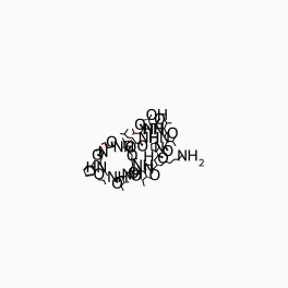 C/C=C1/C(=O)N[C@@H](C(C)C)C(=O)O[C@@H](C)[C@@H](NC(=O)[C@H](NC(=O)[C@H](CCCCCN)CC(=O)[C@H]2CCCN2C(=O)[C@H](NC(=O)[C@@H](NC(=O)[C@@H](NC(=O)[C@H](NC(=O)CCCC(C)C)C(C)C)[C@@H](C)O)C(C)C)C(C)C)[C@@H](C)CC)C(=O)N[C@H]([C@@H](C)CC)C(=O)N[C@H](C(C)C)C(=O)N[C@@H](Cc2ccccc2)C(=O)N1C(C)C